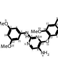 COc1cc(Nc2ncc(N)c(Oc3ccc(C)cc3OC)n2)cc(OC)c1